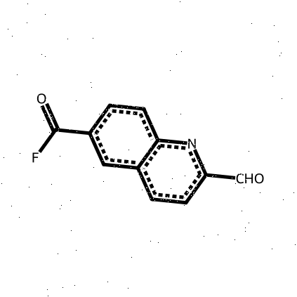 O=Cc1ccc2cc(C(=O)F)ccc2n1